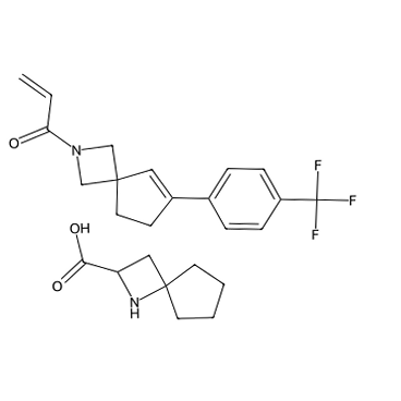 C=CC(=O)N1CC2(C=C(c3ccc(C(F)(F)F)cc3)CC2)C1.O=C(O)C1CC2(CCCC2)N1